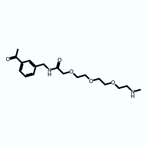 CNCCOCCOCCOCC(=O)NCc1cccc(C(C)=O)c1